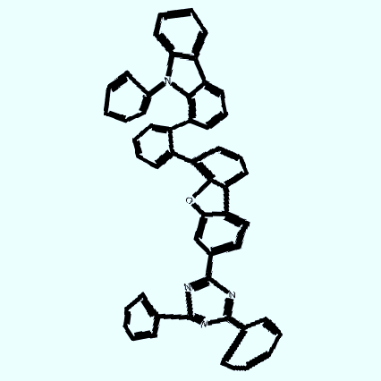 c1ccc(-c2nc(-c3ccccc3)nc(-c3ccc4c(c3)oc3c(-c5ccccc5-c5cccc6c7ccccc7n(-c7ccccc7)c56)cccc34)n2)cc1